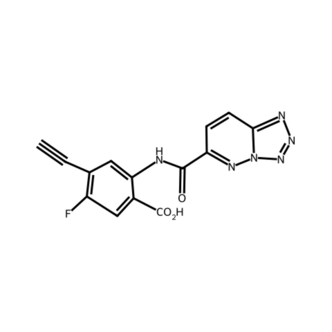 C#Cc1cc(NC(=O)c2ccc3nnnn3n2)c(C(=O)O)cc1F